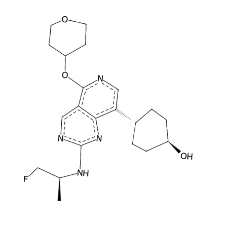 C[C@@H](CF)Nc1ncc2c(OC3CCOCC3)ncc([C@H]3CC[C@H](O)CC3)c2n1